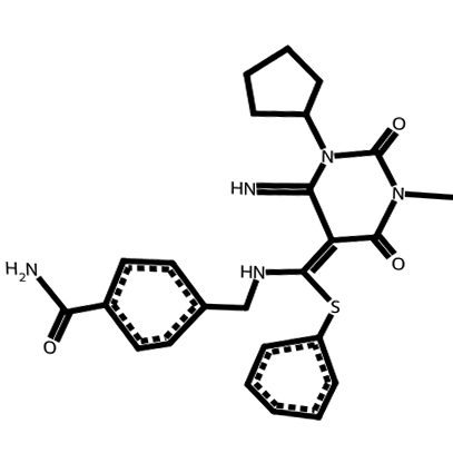 CN1C(=O)/C(=C(/NCc2ccc(C(N)=O)cc2)Sc2ccccc2)C(=N)N(C2CCCC2)C1=O